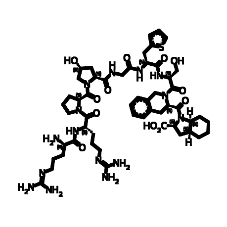 NC(N)=NCCC[C@@H](N)C(=O)N[C@@H](CCCN=C(N)N)C(=O)N1CCC[C@H]1C(=O)N1C[C@H](O)C[C@H]1C(=O)NCC(=O)N[C@@H](Cc1cccs1)C(=O)N[C@@H](CO)C(=O)N1Cc2ccccc2C[C@@H]1C(=O)N1[C@H](C(=O)O)C[C@@H]2CCCC[C@@H]21